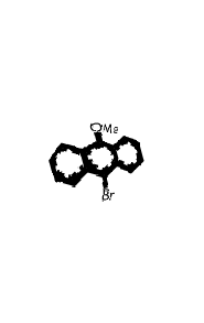 COc1c2ccccc2c(Br)c2ccccc12